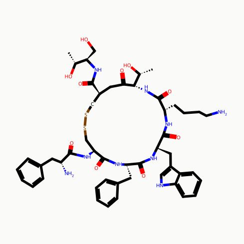 C[C@@H](O)[C@@H]1NC(=O)[C@H](CCCCN)NC(=O)[C@@H](Cc2c[nH]c3ccccc23)NC(=O)[C@H](Cc2ccccc2)NC(=O)[C@@H](NC(=O)[C@H](N)Cc2ccccc2)CSSC[C@@H](C(=O)N[C@H](CO)[C@@H](C)O)CC1=O